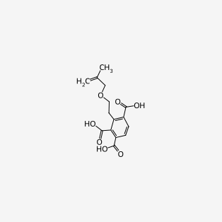 C=C(C)COCCc1c(C(=O)O)ccc(C(=O)O)c1C(=O)O